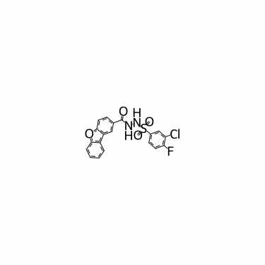 O=C(NNS(=O)(=O)c1ccc(F)c(Cl)c1)c1ccc2oc3ccccc3c2c1